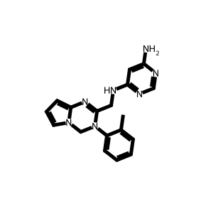 Cc1ccccc1N1Cn2cccc2N=C1CNc1cc(N)ncn1